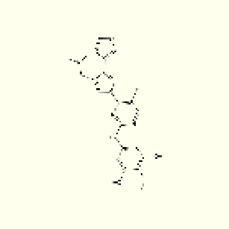 COc1cc(Nc2ncc(F)c(-n3cc(CN(C)C)c(-c4ccoc4)c3)n2)cc(O)c1OC